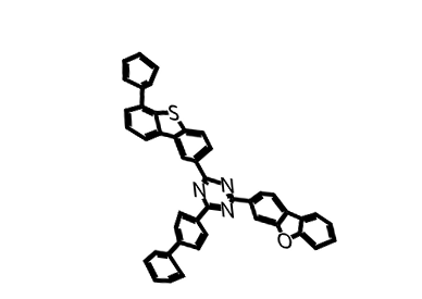 c1ccc(-c2ccc(-c3nc(-c4ccc5c(c4)oc4ccccc45)nc(-c4ccc5sc6c(-c7ccccc7)cccc6c5c4)n3)cc2)cc1